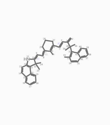 C=C(/C=C/C1=C(C)C(=C/C=C2/Nc3ccc4ccccc4c3C2(C)C)/CCC1)C(C)(C)c1c(C)ccc2ccccc12